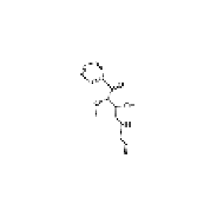 C=CCNCC(O)C(OC)C(=O)c1ccccc1